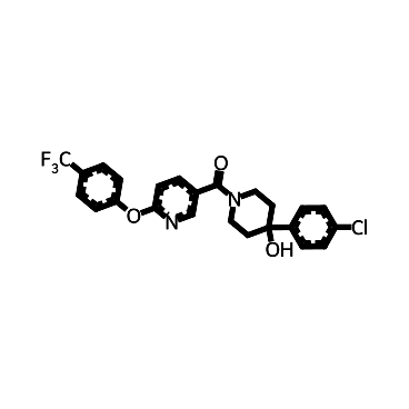 O=C(c1ccc(Oc2ccc(C(F)(F)F)cc2)nc1)N1CCC(O)(c2ccc(Cl)cc2)CC1